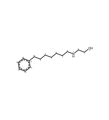 OCCNCCCCCCCc1ccccc1